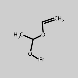 [CH2]C(C)OC(C)OC=C